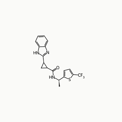 C[C@@H](NC(=O)C1CC1c1nc2ccccc2[nH]1)c1ccc(C(F)(F)F)s1